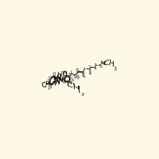 CCCCCCCCCCCCc1cc(C)cc(-n2n3c4ccc(Cl)cc4n23)c1O